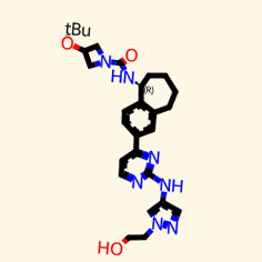 CC(C)(C)OC1CN(C(=O)N[C@@H]2CCCCc3cc(-c4ccnc(Nc5cnn(CCO)c5)n4)ccc32)C1